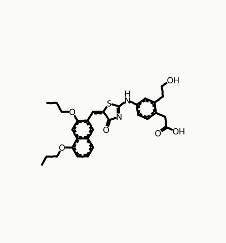 CCCOc1cc2c(OCCC)cccc2cc1C=C1SC(Nc2ccc(CC(=O)O)c(CCO)c2)=NC1=O